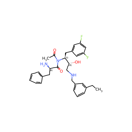 CCc1cccc(CNC[C@@H](O)[C@H](Cc2cc(F)cc(F)c2)N(C(C)=O)C(=O)[C@H](N)Cc2ccccc2)c1